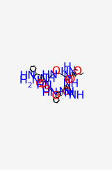 CCCC[C@H](NC(C)=O)C(=O)NC1CCC(=O)NCCC(C(=O)N[C@@H](Cc2c[nH]c3ccccc23)C(N)=O)NC(=O)CNC(=O)[C@H](Cc2ccccc2)NC(=O)[C@H](Cc2c[nH]cn2)NC1=O